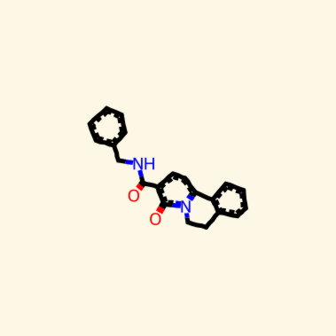 O=C(NCc1ccccc1)c1ccc2n(c1=O)CCc1ccccc1-2